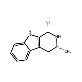 C[C@@H]1Cc2c([nH]c3ccccc23)[C@H](C)N1